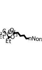 CCCCCCCCCCCCCC(=O)OC(CC)[N+](C)(C)CC